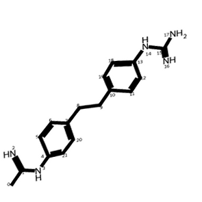 CC(=N)Nc1ccc(CCc2ccc(NC(=N)N)cc2)cc1